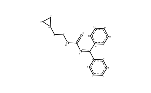 O=C(N=C(c1ccccc1)c1ccccc1)OCCC1CC1